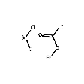 [CH2]CC(=O)OCC.[Cl][Sn][Cl]